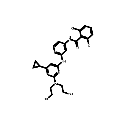 O=C(Nc1ccnc(Nc2cc(C3CC3)nc(N(CCO)CCO)n2)c1)c1c(Cl)cccc1Cl